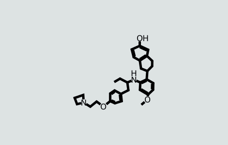 CCC(Cc1ccc(OCCN2CCC2)cc1)Nc1cc(OC)ccc1C1CCc2cc(O)ccc2C1